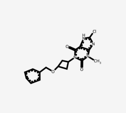 Cn1c(=O)n(C2CC(OCc3ccccc3)C2)c(=O)c2[nH]c(Cl)nc21